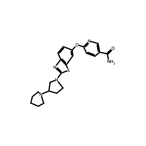 NC(=O)c1ccc(Oc2ccc3nc(N4CCC(N5CCCCC5)C4)sc3c2)nc1